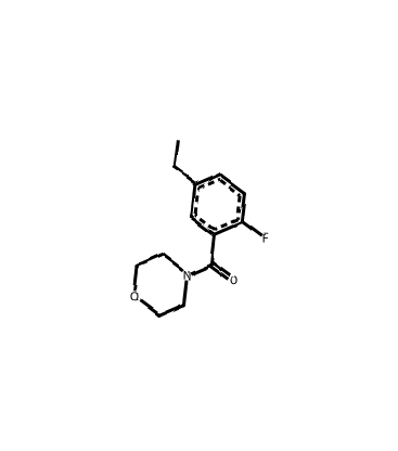 CCc1ccc(F)c(C(=O)N2CCOCC2)c1